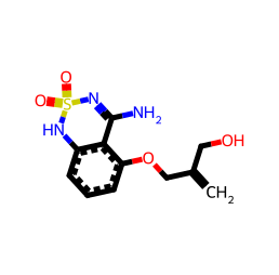 C=C(CO)COc1cccc2c1C(N)=NS(=O)(=O)N2